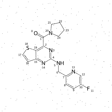 O=C(c1nc(NCc2ccc(F)cn2)nc2ccsc12)N1CCCC1